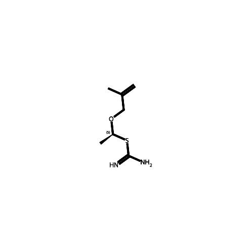 C=C(C)CO[C@H](C)SC(=N)N